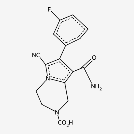 N#Cc1c(-c2cccc(F)c2)c(C(N)=O)c2n1CCN(C(=O)O)C2